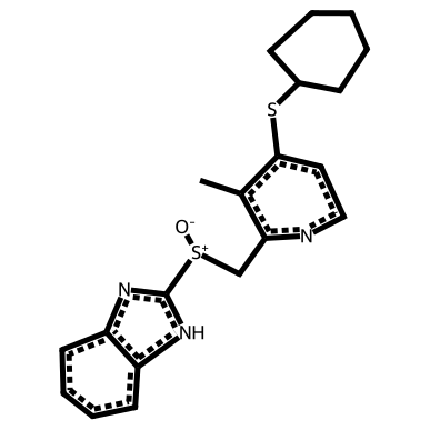 Cc1c(SC2CCCCC2)ccnc1C[S+]([O-])c1nc2ccccc2[nH]1